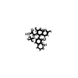 Cc1ccc2c(-c3ccc4c(c3Cl)NCCC4)c([C@H](OC(C)(C)C)C(=O)O)c(C)cc2n1